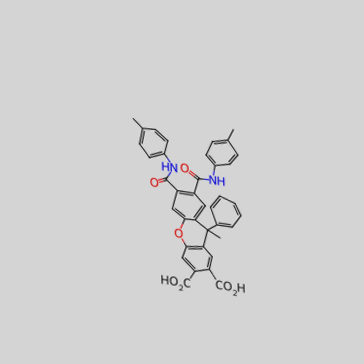 Cc1ccc(NC(=O)c2cc3c(cc2C(=O)Nc2ccc(C)cc2)C(C)(c2ccccc2)c2cc(C(=O)O)c(C(=O)O)cc2O3)cc1